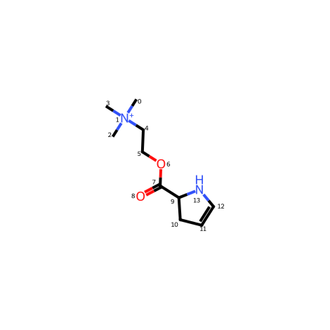 C[N+](C)(C)CCOC(=O)C1CC=CN1